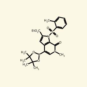 CCOC(=O)c1cc2c(B3OC(C)(C)C(C)(C)O3)cn(C)c(=O)c2n1S(=O)(=O)c1ccccc1C